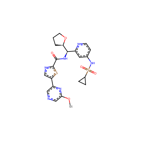 CCOc1cncc(-c2cnc(C(=O)N[C@H](c3cc(NS(=O)(=O)C4CC4)ccn3)[C@H]3CCCO3)s2)n1